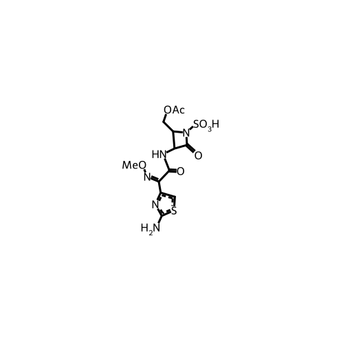 CON=C(C(=O)NC1C(=O)N(S(=O)(=O)O)C1COC(C)=O)c1csc(N)n1